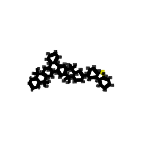 CC1(C)c2ccccc2C(C)(C)c2cc3c(cc21)c1ccccc1c1cc2c(cc31)C(C)(C)C1C=CC(c3ccc4sc5ccccc5c4c3)=CC1C2(C)C